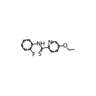 CCOc1ccc(C(=S)Nc2ccccc2F)nc1